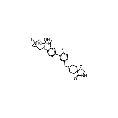 Cc1ccc(CN2CCC3(CC2)NCNC3=O)cc1-c1ccc2c(n1)N(C)S(O)(O)N2CC1CC1(F)F